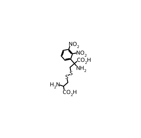 NC(CSSCC(N)(C(=O)O)c1cccc([N+](=O)[O-])c1[N+](=O)[O-])C(=O)O